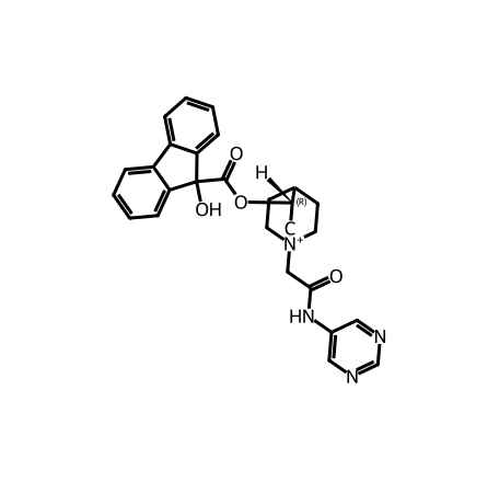 O=C(C[N+]12CCC(CC1)[C@@H](OC(=O)C1(O)c3ccccc3-c3ccccc31)C2)Nc1cncnc1